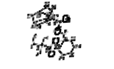 CCC(C)(C)C(=O)OC1(COC(=O)C2C3CC4CC(C3)CC2C4)CCCCC1